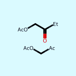 CC(=O)COC(C)=O.CCC(=O)COC(C)=O